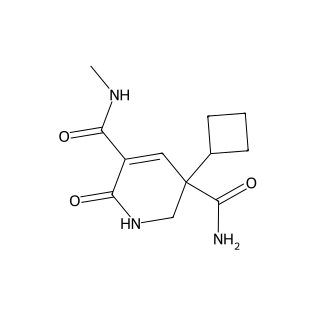 CNC(=O)C1=CC(C(N)=O)(C2CCC2)CNC1=O